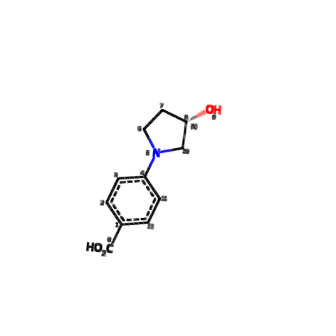 O=C(O)c1ccc(N2CC[C@H](O)C2)cc1